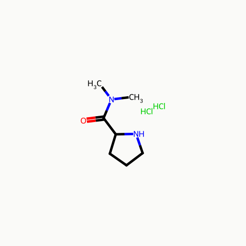 CN(C)C(=O)C1CCCN1.Cl.Cl